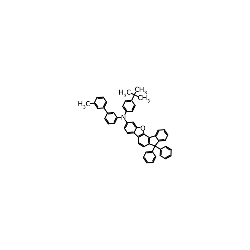 Cc1cccc(-c2cccc(N(c3ccc(C(C)(C)C)cc3)c3ccc4c(c3)oc3c5c(ccc34)C(c3ccccc3)(c3ccccc3)c3ccccc3-5)c2)c1